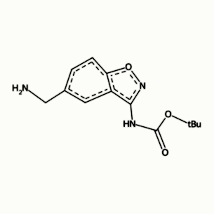 CC(C)(C)OC(=O)Nc1noc2ccc(CN)cc12